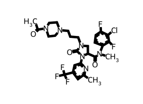 CC(=O)N1CCN(CCCN2CC(C(=O)N(C)c3ccc(F)c(Cl)c3F)N(c3cc(C(F)(F)F)cc(C)n3)C2=O)CC1